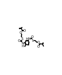 C=C(C)C(=O)OCCSC(=O)Nc1ccc(C)c(NC(=O)SCCOC(=O)C(=C)C)c1